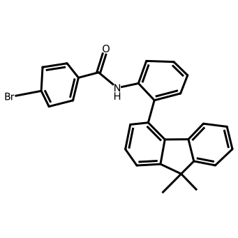 CC1(C)c2ccccc2-c2c(-c3ccccc3NC(=O)c3ccc(Br)cc3)cccc21